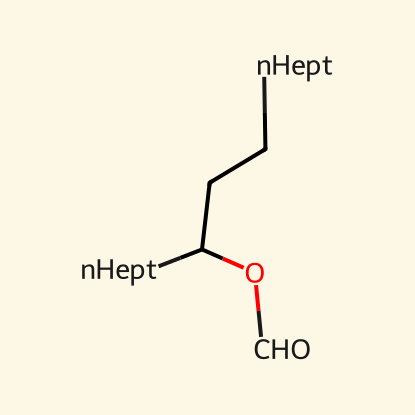 CCCCCCCCCC(CCCCCCC)OC=O